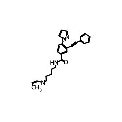 C/C=C\N=C/CCCCNC(=O)c1ccc(-n2cccn2)c(C#Cc2ccccc2)c1